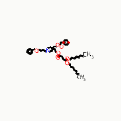 CCCCCCCCOC(CCC(=O)OCCC1(CCOC(=O)CC23CCC(CC2)CC3)CCN(CCCCOCc2ccccc2)CC1)OCCCCCCCC